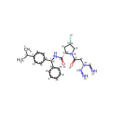 CC(C)c1ccc([C@@H](NC(=O)[C@@H]2C[C@@H](F)CN2C(=O)CN(C=N)N=N)c2ccccc2)cc1